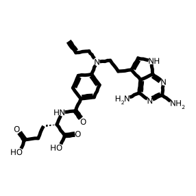 C=CCN(CCc1c[nH]c2nc(N)nc(N)c12)c1ccc(C(=O)N[C@@H](CCC(=O)O)C(=O)O)cc1